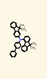 CC1(C)c2ccccc2-c2ccc(N(C3=CC=C(c4ccccc4)CC3)c3cccc4c3-c3ccccc3C4(C)C)cc21